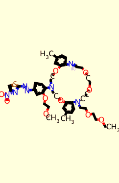 CCOCCOCCN1CCOCCOC/C=N/c2ccc(C)cc2OCCN(c2ccc(/N=N/c3nc([N+](=O)[O-])cs3)cc2OCCOC)CCOc2cc(C)ccc21